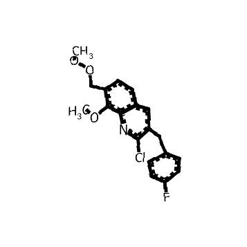 COOCc1ccc2cc(Cc3ccc(F)cc3)c(Cl)nc2c1OC